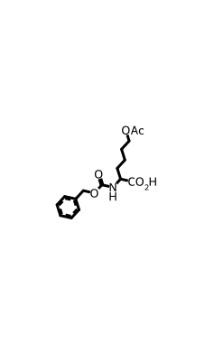 CC(=O)OCCCCC(NC(=O)OCc1ccccc1)C(=O)O